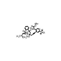 CCS(=O)(=O)c1cc(C#CCC(O)(CC(C)(C)c2ccccc2S(=O)(=O)N=CN(C)C)C(F)(F)F)c(NC(=O)OC(C)(C)C)cn1